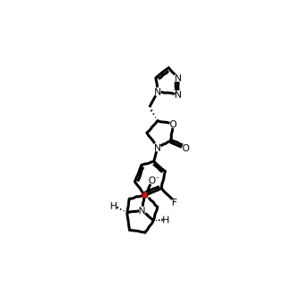 O=C1O[C@@H](Cn2ccnn2)CN1c1ccc(N2[C@@H]3CC[C@H]2C[S+]([O-])C3)c(F)c1